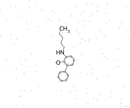 CCCCCNc1cccc(-c2ccccc2)c1[O]